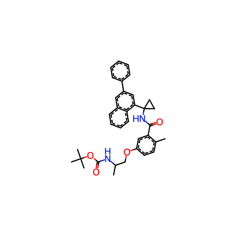 Cc1ccc(OCC(C)NC(=O)OC(C)(C)C)cc1C(=O)NC1(c2cc(-c3ccccc3)cc3ccccc23)CC1